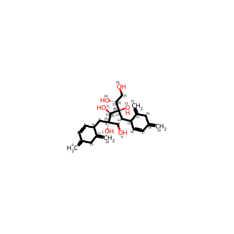 C=C1C=CC(C[C@](O)(CO)[C@@H](O)[C@@](O)(CC2C=CC(=C)CC2=C)[C@H](O)CO)C(=C)C1